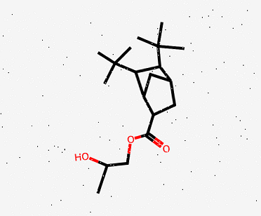 CC(O)COC(=O)C1CC2CC1C(C(C)(C)C)C2C(C)(C)C